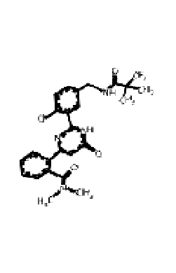 CN(C)C(=O)c1ccccc1-c1cc(=O)[nH]c(-c2cc(CNC(=O)C(C)(C)C(F)(F)F)ccc2Cl)n1